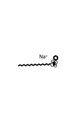 CCCCCCCCCCCCCCCCCCOP(=O)([O-])Oc1ccccc1.[Na+]